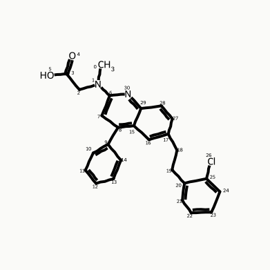 CN(CC(=O)O)c1cc(-c2ccccc2)c2cc(CCc3ccccc3Cl)ccc2n1